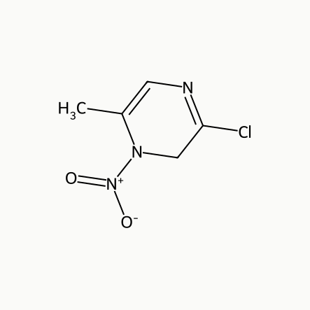 CC1=CN=C(Cl)CN1[N+](=O)[O-]